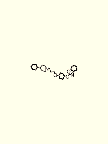 c1ccc(C2CCN(CCCOc3ccc(Oc4nc5ccccc5o4)cc3)CC2)cc1